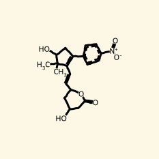 CC1(C)C(C=CC2CC(O)CC(=O)O2)=C(c2ccc([N+](=O)[O-])cc2)CC1O